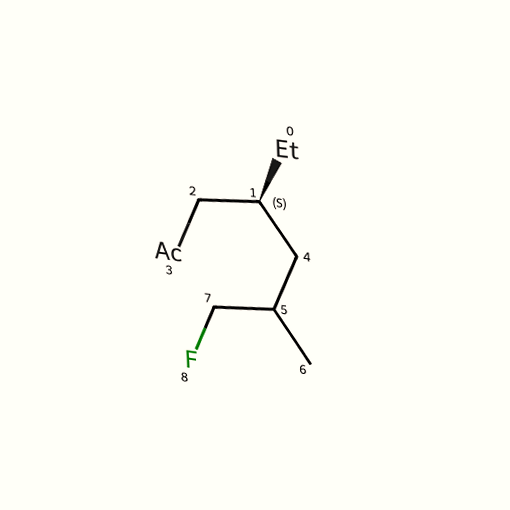 CC[C@H](CC(C)=O)CC(C)CF